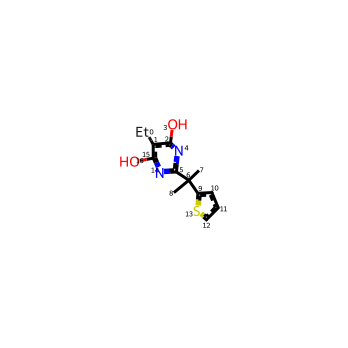 CCc1c(O)nc(C(C)(C)c2cccs2)nc1O